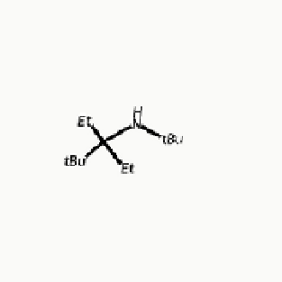 CCC(CC)(NC(C)(C)C)C(C)(C)C